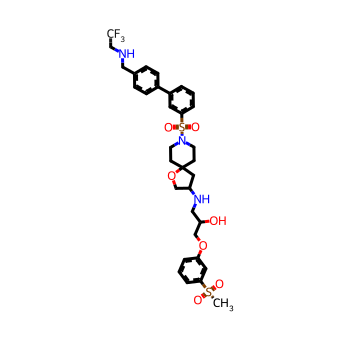 CS(=O)(=O)c1cccc(OCC(O)CNC2COC3(CCN(S(=O)(=O)c4cccc(-c5ccc(CNCC(F)(F)F)cc5)c4)CC3)C2)c1